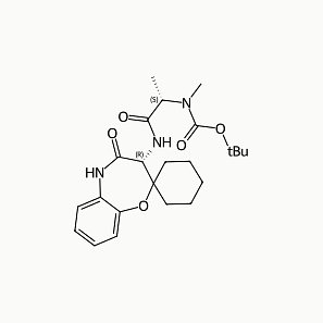 C[C@@H](C(=O)N[C@H]1C(=O)Nc2ccccc2OC12CCCCC2)N(C)C(=O)OC(C)(C)C